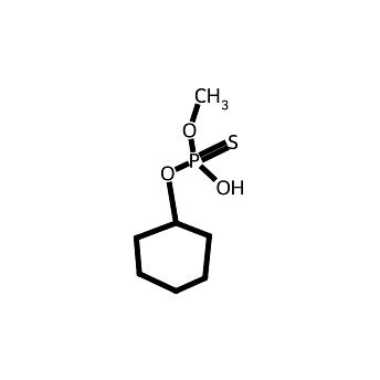 COP(O)(=S)OC1CCCCC1